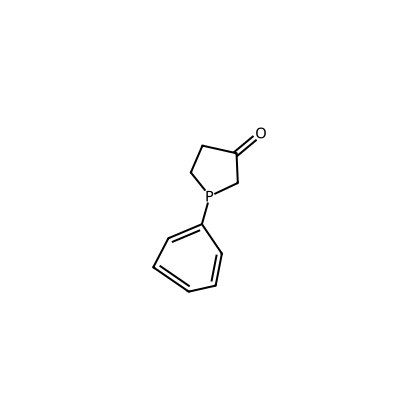 O=C1CCP(c2ccccc2)C1